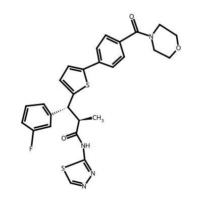 C[C@@H](C(=O)Nc1nncs1)[C@H](c1cccc(F)c1)c1ccc(-c2ccc(C(=O)N3CCOCC3)cc2)s1